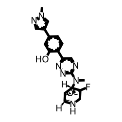 CN(c1ncc(-c2ccc(-c3cnn(C)c3)cc2O)nn1)[C@H]1C[C@@H]2COCC1(F)CN2